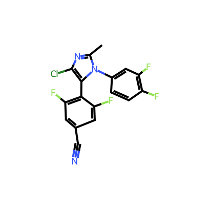 Cc1nc(Cl)c(-c2c(F)cc(C#N)cc2F)n1-c1ccc(F)c(F)c1